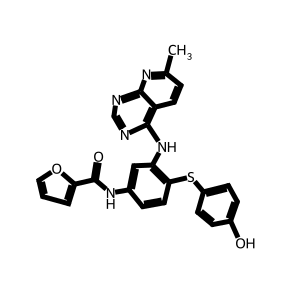 Cc1ccc2c(Nc3cc(NC(=O)c4ccco4)ccc3Sc3ccc(O)cc3)ncnc2n1